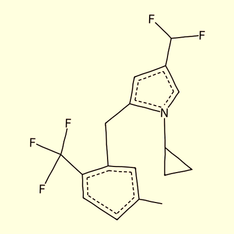 Cc1ccc(C(F)(F)F)c(Cc2cc(C(F)F)cn2C2CC2)c1